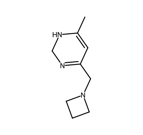 CC1=CC(CN2CCC2)=NCN1